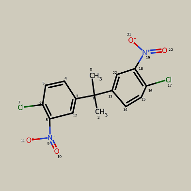 CC(C)(c1ccc(Cl)c([N+](=O)[O-])c1)c1ccc(Cl)c([N+](=O)[O-])c1